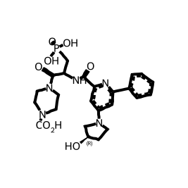 O=C(NC(CP(=O)(O)O)C(=O)N1CCN(C(=O)O)CC1)c1cc(N2CC[C@@H](O)C2)cc(-c2ccccc2)n1